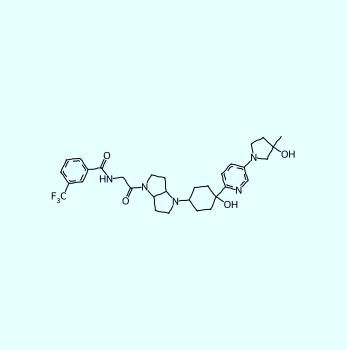 CC1(O)CCN(c2ccc(C3(O)CCC(N4CCC5C4CCN5C(=O)CNC(=O)c4cccc(C(F)(F)F)c4)CC3)nc2)C1